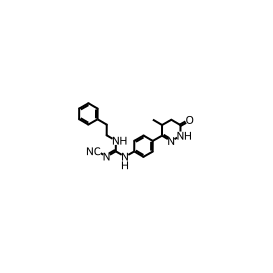 CC1CC(=O)NN=C1c1ccc(NC(=NC#N)NCCc2ccccc2)cc1